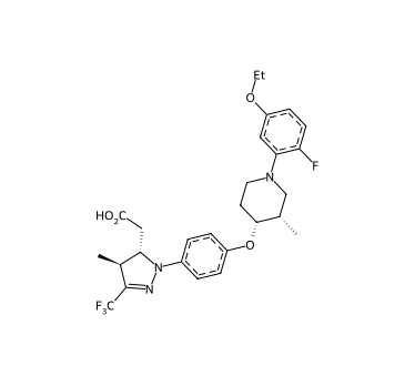 CCOc1ccc(F)c(N2CC[C@@H](Oc3ccc(N4N=C(C(F)(F)F)[C@@H](C)[C@@H]4CC(=O)O)cc3)[C@@H](C)C2)c1